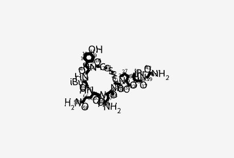 CCC(C)C1NC(=O)C(Cc2ccc(O)cc2)NC(=O)CCSSCC(C(=O)N2CCCC2C(=O)OC(CC(C)C)C(=O)NCC(N)=O)NC(=O)C(CC(N)=O)NC(=O)C(CCC(N)=O)NC1=O